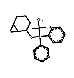 CC(C)(C)[Si](OC1CCCC2OC21)(c1ccccc1)c1ccccc1